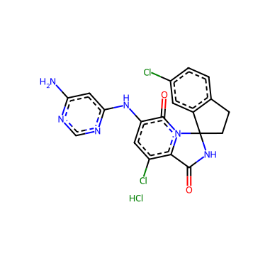 Cl.Nc1cc(Nc2cc(Cl)c3n(c2=O)C2(CCc4ccc(Cl)cc42)NC3=O)ncn1